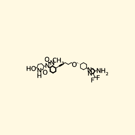 Cn1c(=O)n(C2CCC(O)NC2=O)c2cccc(C#CCCCOC[C@H]3CC[C@H](n4cc(N)c(C(F)F)n4)CC3)c21